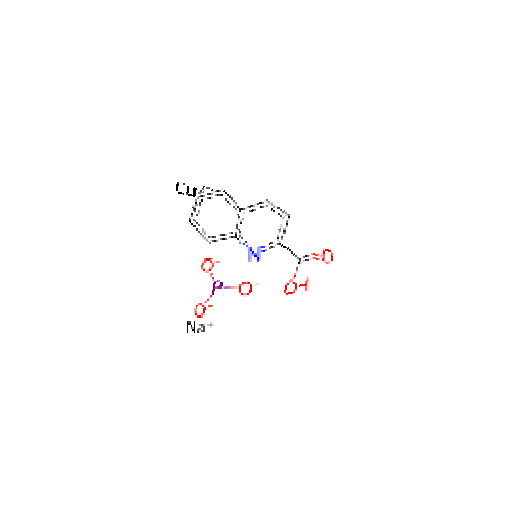 O=C(O)c1ccc2ccccc2n1.[Cu+2].[Na+].[O-]P([O-])[O-]